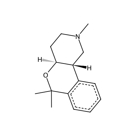 CN1CC[C@@H]2OC(C)(C)c3ccccc3[C@H]2C1